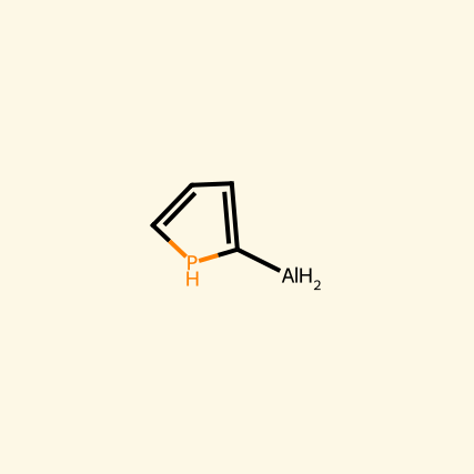 [AlH2][c]1ccc[pH]1